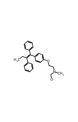 CC/C(=C(\c1ccccc1)c1ccc(OCCN(C)C[O])cc1)c1ccccc1